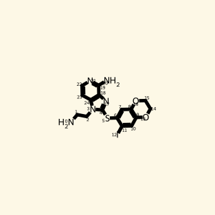 NCCn1c(Sc2cc3c(cc2I)OCCO3)nc2c(N)nccc21